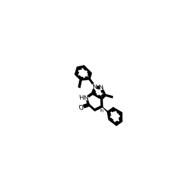 Cc1ccccc1-n1nc(C)c2c1NC(=O)C[C@@H]2c1ccccc1